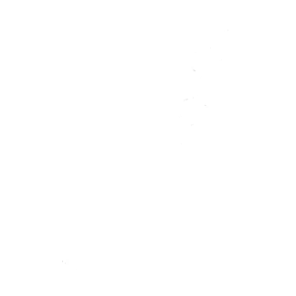 NCCCCCCCCCCCOc1ccc(-c2ccc([C]=O)cc2)cc1